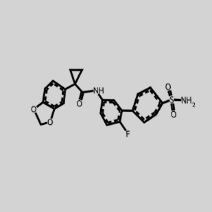 NS(=O)(=O)c1ccc(-c2cc(NC(=O)C3(c4ccc5c(c4)OCO5)CC3)ccc2F)cc1